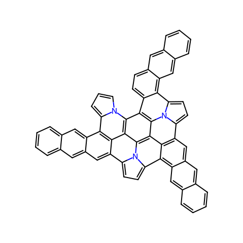 c1ccc2cc3c(cc2c1)cc1c2c3c3cccn3c3c4c5ccc6cc7ccccc7cc6c5c5ccc6c7cc8cc9ccccc9cc8c8c7c(c4n65)c(c23)n2c1ccc82